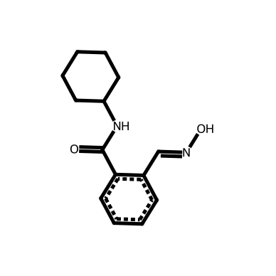 O=C(NC1CCCCC1)c1ccccc1C=NO